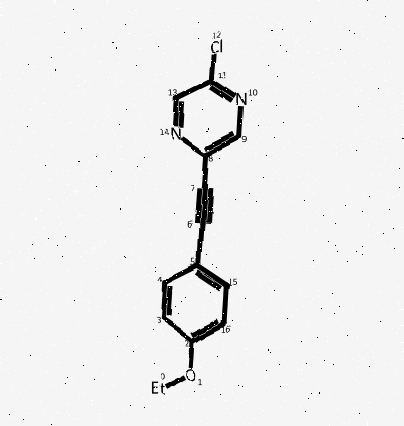 CCOc1ccc(C#Cc2cnc(Cl)cn2)cc1